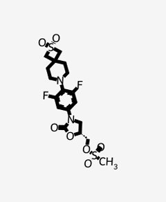 CS(=O)(=O)OC[C@H]1CN(c2cc(F)c(N3CCC4(CC3)CS(=O)(=O)C4)c(F)c2)C(=O)O1